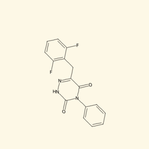 O=c1[nH]nc(Cc2c(F)cccc2F)c(=O)n1-c1ccccc1